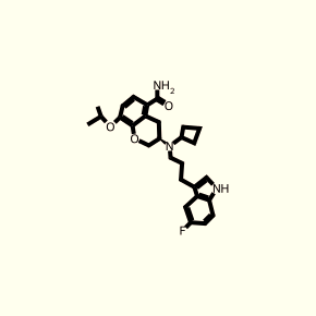 CC(C)Oc1ccc(C(N)=O)c2c1OC[C@H](N(CCCc1c[nH]c3ccc(F)cc13)C1CCC1)C2